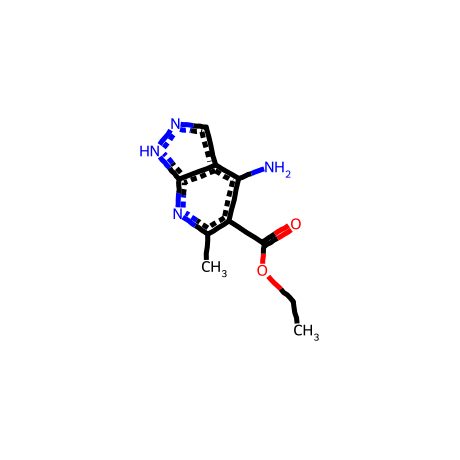 CCOC(=O)c1c(C)nc2[nH]ncc2c1N